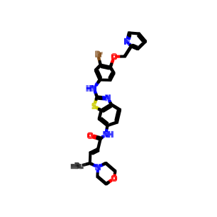 CCCCC(/C=C/C(=O)Nc1ccc2nc(Nc3ccc(OCc4ccccn4)c(Br)c3)sc2c1)N1CCOCC1